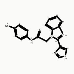 N#Cc1ccc(NC(=O)Cn2c(-c3cscn3)nc3ccccc32)cc1